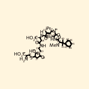 CN[C@H](C(=O)N[C@H](C(=O)N(C)[C@H](/C=C(\C)C(=O)N[C@@H](CC(=O)NCCN1C(=O)CC(SC[C@H](N)C(=O)O)C1O)C(=O)O)C(C)C)C(C)(C)C)C(C)(C)c1ccccc1